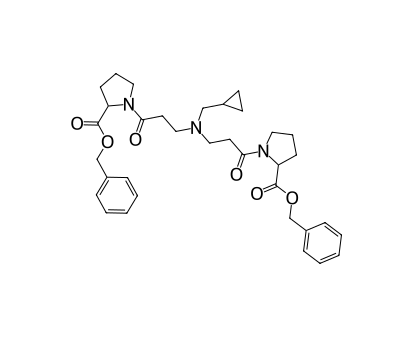 O=C(OCc1ccccc1)C1CCCN1C(=O)CCN(CCC(=O)N1CCCC1C(=O)OCc1ccccc1)CC1CC1